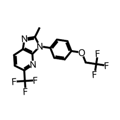 Cc1nc2ccc(C(F)(F)F)nc2n1-c1ccc(OCC(F)(F)F)cc1